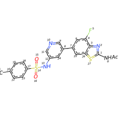 CC(=O)Nc1nc2c(F)cc(-c3cncc(NS(=O)(=O)c4ccc(C(F)(F)F)cc4)c3)cc2s1